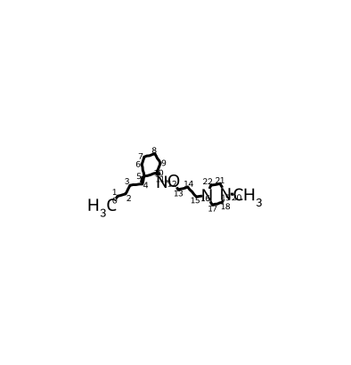 CCCCC=C1CCCCC1=NOCCCN1CCN(C)CC1